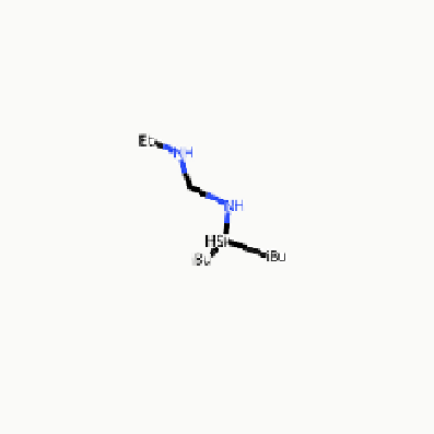 CCNCN[SiH](C(C)CC)C(C)CC